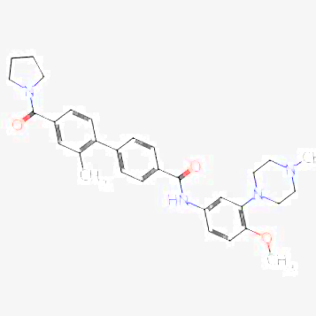 COc1ccc(NC(=O)c2ccc(-c3ccc(C(=O)N4CCCC4)cc3C)cc2)cc1N1CCN(C)CC1